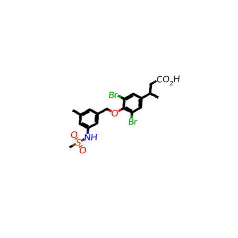 Cc1cc(COc2c(Br)cc(C(C)CC(=O)O)cc2Br)cc(NS(C)(=O)=O)c1